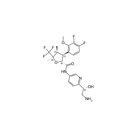 COc1c([C@H]2[C@H](C(=O)Nc3ccc([C@H](O)CN)nc3)O[C@@](C)(C(F)(F)F)[C@H]2C)ccc(F)c1F